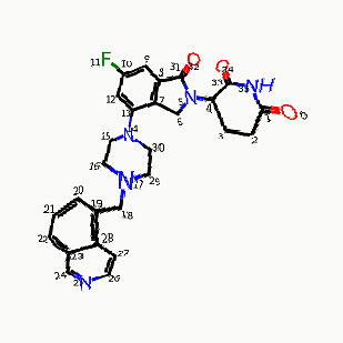 O=C1CCC(N2Cc3c(cc(F)cc3N3CCN(Cc4cccc5cnccc45)CC3)C2=O)C(=O)N1